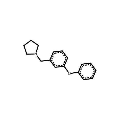 c1ccc(Oc2cccc(CN3CCCC3)c2)cc1